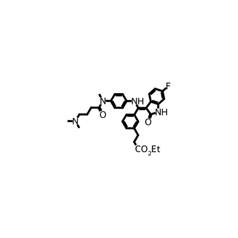 CCOC(=O)CCc1cccc(C(Nc2ccc(N(C)C(=O)CCCN(C)C)cc2)=C2C(=O)Nc3cc(F)ccc32)c1